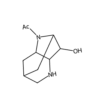 CC(=O)N1C2CC3CNC(C2O)C1C3